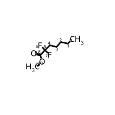 CCCCCC(F)(F)C(=O)OC